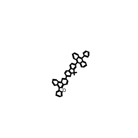 CC1(C)c2cc(-c3ccc4c(c3)c3ccccc3c3c5ccccc5oc43)ccc2-c2ccc(-c3c4ccccc4c(-c4ccccc4)c4ccccc34)cc21